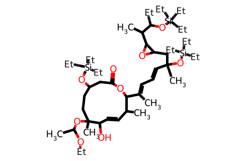 CCOC(C)OC1(C)CCC(O[Si](CC)(CC)CC)CC(=O)OC(/C(C)=C/C=C/C(C)(CC2OC2C(C)C(CC)O[Si](CC)(CC)CC)O[Si](CC)(CC)CC)C(C)/C=C/C1O